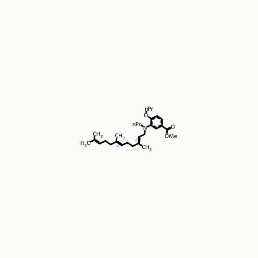 CCCOc1ccc(C(=O)OC)cc1N(C/C=C(\C)CC/C=C(\C)CCC=C(C)C)CCC